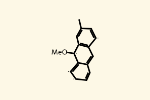 CO[C]1C2=[C][CH]C=CC2=Cc2[c]cc(C)cc21